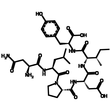 CC[C@H](C)[C@H](NC(=O)[C@H](CC(=O)O)NC(=O)[C@@H]1CCCN1C(=O)[C@H](CC(C)C)NC(=O)[C@@H](N)CC(N)=O)C(=O)N[C@@H](Cc1ccc(O)cc1)C(=O)O